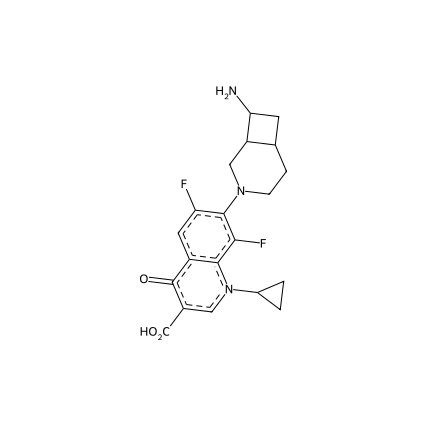 NC1CC2CCN(c3c(F)cc4c(=O)c(C(=O)O)cn(C5CC5)c4c3F)CC12